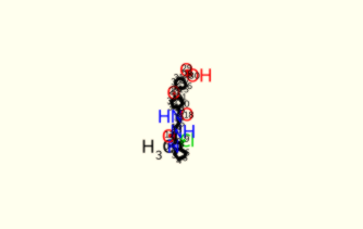 CN1c2ccccc2C(Cl)C1C(=O)NCCNC(=O)c1ccc(O[C@H]2CC[C@@H](C(=O)O)CC2)cc1